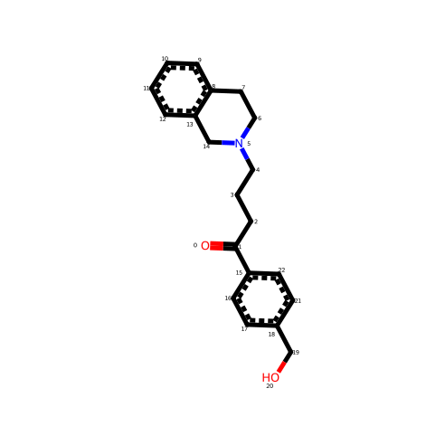 O=C(CCCN1CCc2ccccc2C1)c1ccc(CO)cc1